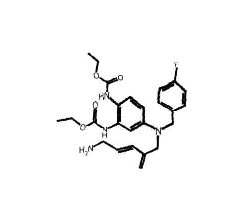 C=C(/C=C/CN)CN(Cc1ccc(F)cc1)c1ccc(NC(=O)OCC)c(NC(=O)OCC)c1